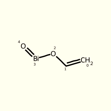 C=C[O][Bi]=[O]